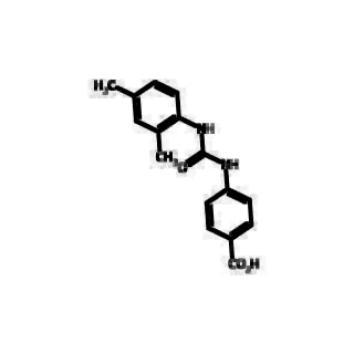 Cc1ccc(NC(=O)Nc2ccc(C(=O)O)cc2)c(C)c1